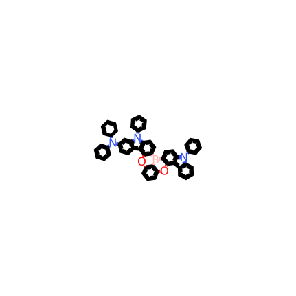 C1=CCC(N(c2ccccc2)c2ccc3c4c5c(ccc4n(-c4ccccc4)c3c2)B2c3ccc4c(c3Oc3cccc(c32)O5)c2ccccc2n4-c2ccccc2)C=C1